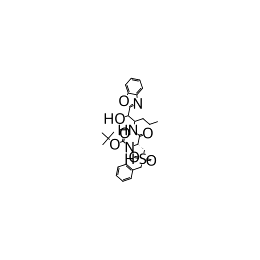 CCCC(NC(=O)[C@H](CS(=O)(=O)Cc1ccccc1)NC(=O)OC(C)(C)C)C(O)c1nc2ccccc2o1